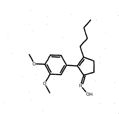 CCCCC1=C(c2ccc(OC)c(OC)c2)C(=NO)CC1